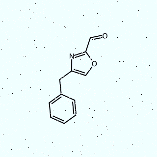 O=Cc1nc(Cc2ccccc2)co1